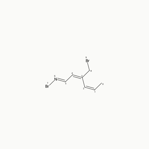 C\C=C/C(=C\C=N\Br)CBr